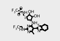 Cc1nc(NCC(F)(F)F)nc(N[C@@H]2C[C@H](CNS(=O)(=O)C(F)(F)F)[C@@H](O)[C@H]2O)c1-c1nc2ccccc2s1